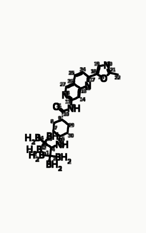 BC(B)(B)C(N[C@H]1CC[C@H](C(=O)Nc2cc3nc(-c4cnc(C)o4)ccc3cn2)CC1)C(B)(B)B